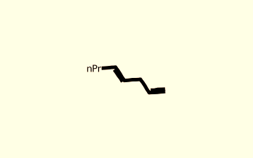 [CH2]CCC=CCC=C